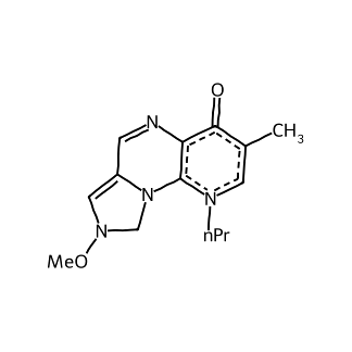 CCCn1cc(C)c(=O)c2c1N1CN(OC)C=C1C=N2